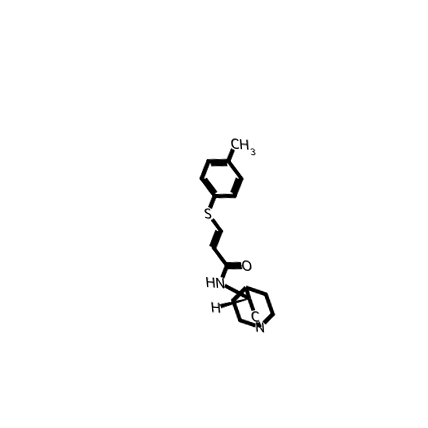 Cc1ccc(S/C=C/C(=O)N[C@H]2CN3CCC2CC3)cc1